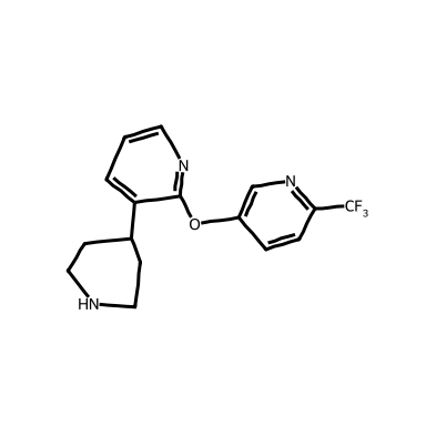 FC(F)(F)c1ccc(Oc2ncccc2C2CCNCC2)cn1